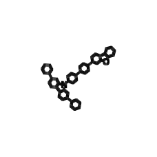 c1ccc(-c2ccc3c4ccc(-c5ccccc5)cc4n(-c4ccc(-c5ccc(-c6ccc7c(c6)oc6ccccc67)cc5)cc4)c3c2)cc1